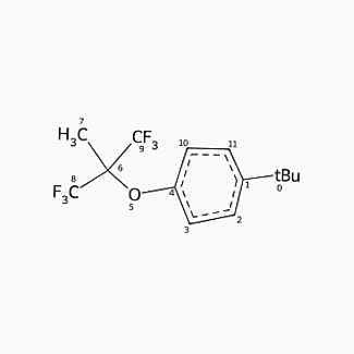 CC(C)(C)c1ccc(OC(C)(C(F)(F)F)C(F)(F)F)cc1